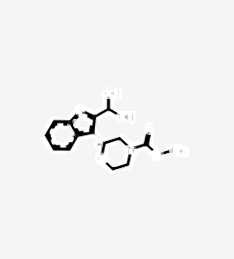 CC(C)(C)OC(=O)N1CCO[C@H](c2c(C(O)O)sc3ccccc23)C1